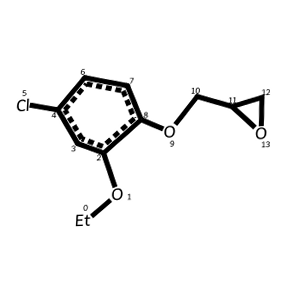 CCOc1cc(Cl)ccc1OCC1CO1